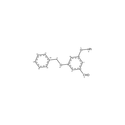 CCCOc1cc(C=O)cc(OCc2ccccc2)c1